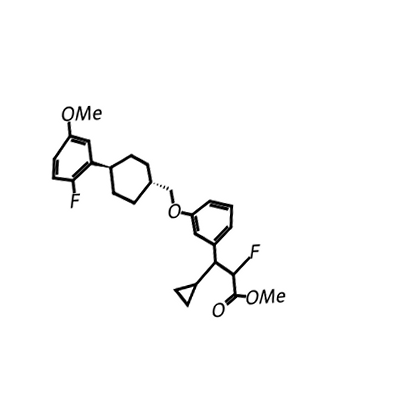 COC(=O)C(F)C(c1cccc(OC[C@H]2CC[C@H](c3cc(OC)ccc3F)CC2)c1)C1CC1